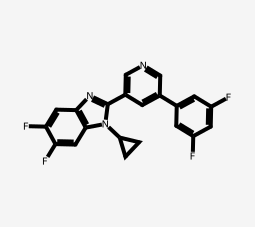 Fc1cc(F)cc(-c2cncc(-c3nc4cc(F)c(F)cc4n3C3CC3)c2)c1